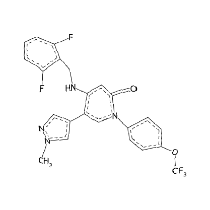 Cn1cc(-c2cn(-c3ccc(OC(F)(F)F)cc3)c(=O)cc2NCc2c(F)cccc2F)cn1